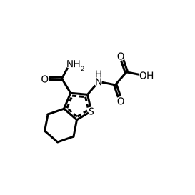 NC(=O)c1c(NC(=O)C(=O)O)sc2c1CCCC2